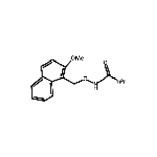 CCCC(=O)NOCc1c(OC)ccc2ccccc12